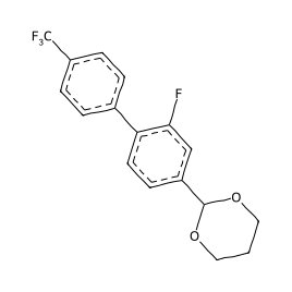 Fc1cc(C2OCCCO2)ccc1-c1ccc(C(F)(F)F)cc1